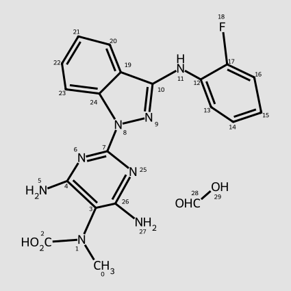 CN(C(=O)O)c1c(N)nc(-n2nc(Nc3ccccc3F)c3ccccc32)nc1N.O=CO